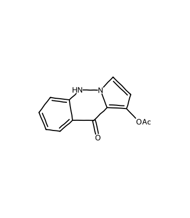 CC(=O)Oc1ccn2[nH]c3ccccc3c(=O)c12